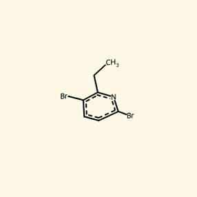 CCc1nc(Br)ccc1Br